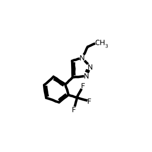 CCn1cc(-c2ccccc2C(F)(F)F)nn1